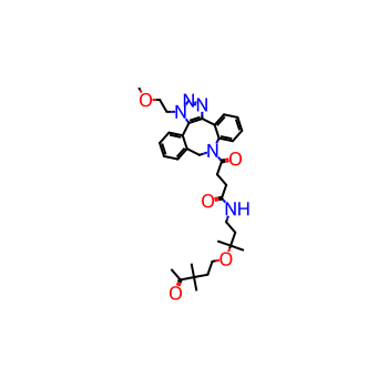 COCCn1nnc2c1-c1ccccc1CN(C(=O)CCC(=O)NCCC(C)(C)OCCC(C)(C)C(C)=O)c1ccccc1-2